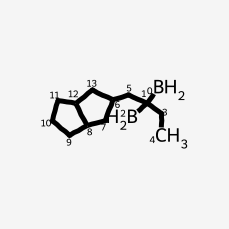 BC(B)(CC)CC1CC2CCCC2C1